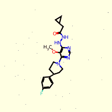 COc1c(NNC(=O)CC2CC2)ncnc1N1CCC(c2ccc(F)cc2)CC1